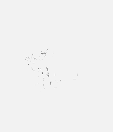 COc1n[nH]c2ncc(NC(=O)c3c(C)ccc(OCc4ccc(Cl)cc4)c3F)cc12